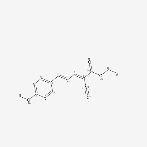 [C-]#[N+]C(=CC=Cc1ccc(OC)cc1)C(=O)OCC